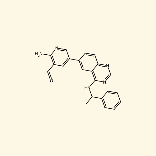 CC(Nc1ncnc2ccc(-c3cnc(N)c(C=O)c3)cc12)c1ccccc1